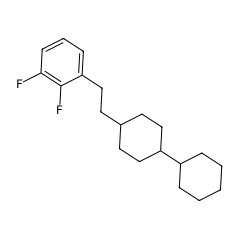 Fc1cccc(CCC2CCC(C3CCCCC3)CC2)c1F